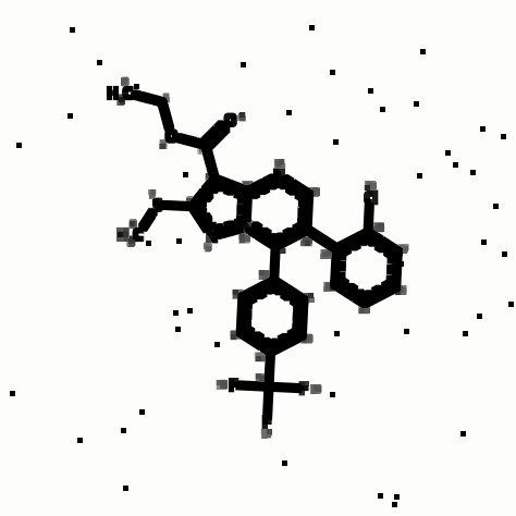 CCOC(=O)c1c(SC)nn2c(-c3ccc(C(F)(F)F)cc3)c(-c3ccccc3Cl)cnc12